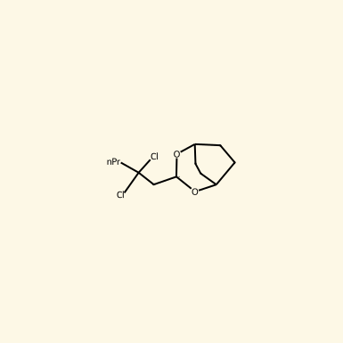 [CH2]CCC(Cl)(Cl)C[C]1OC2CCC(CC2)O1